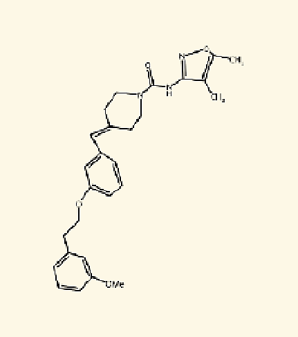 COc1cccc(CCOc2cccc(C=C3CCN(C(=O)Nc4noc(C)c4C)CC3)c2)c1